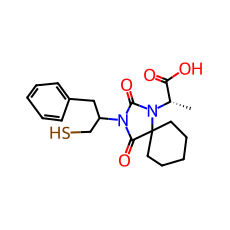 C[C@@H](C(=O)O)N1C(=O)N(C(CS)Cc2ccccc2)C(=O)C12CCCCC2